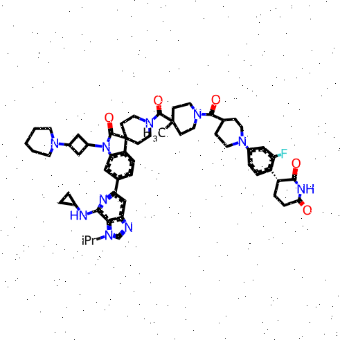 CC(C)n1cnc2cc(-c3ccc4c(c3)N(C3CC(N5CCCCC5)C3)C(=O)C43CCN(C(=O)C4(C)CCN(C(=O)C5CCN(c6ccc([C@H]7CCC(=O)NC7=O)c(F)c6)CC5)CC4)CC3)nc(NC3CC3)c21